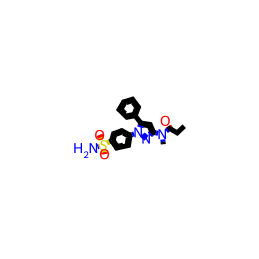 CCC(=O)N(C)c1cc(-c2ccccc2)n(-c2ccc(S(N)(=O)=O)cc2)n1